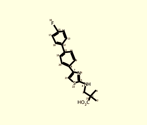 CC(C)(CNc1nc(-c2ccc(-c3ccc(F)cc3)cc2)cs1)C(=O)O